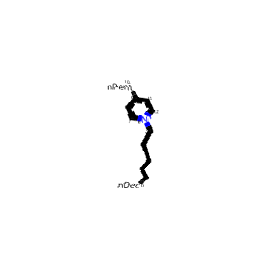 CCCCCCCCCCCCCCC[n+]1ccc(CCCCC)cc1